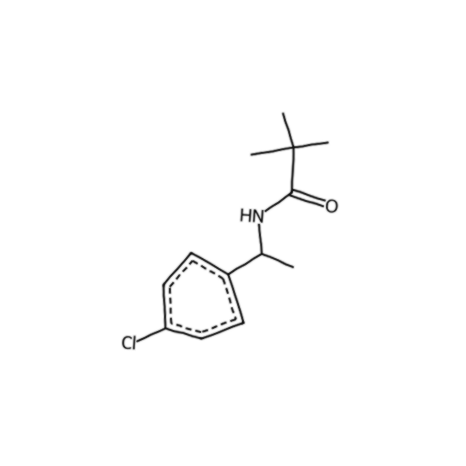 CC(NC(=O)C(C)(C)C)c1ccc(Cl)cc1